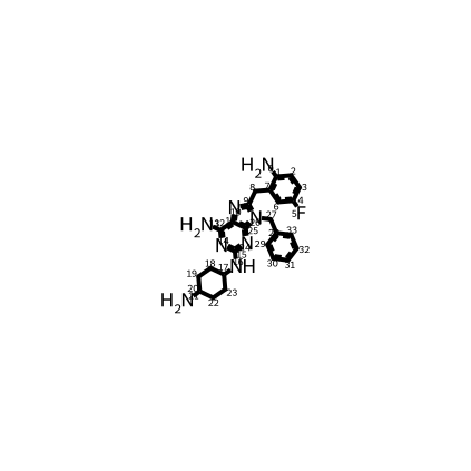 Nc1ccc(F)cc1Cc1nc2c(N)nc(NC3CCC(N)CC3)nc2n1Cc1ccccc1